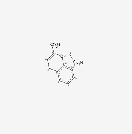 CC(=O)O.O=C(O)C1=CCc2ccccc2O1